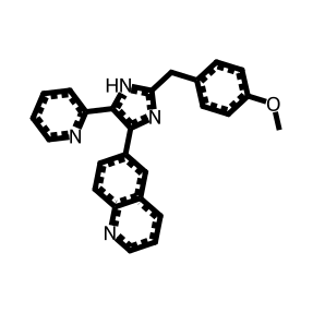 COc1ccc(Cc2nc(-c3ccc4ncccc4c3)c(-c3ccccn3)[nH]2)cc1